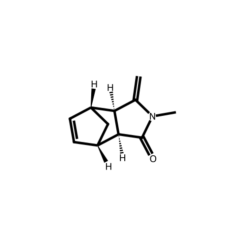 C=C1[C@H]2[C@@H](C(=O)N1C)[C@@H]1C=C[C@H]2C1